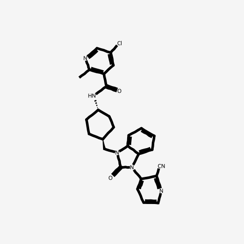 Cc1ncc(Cl)cc1C(=O)N[C@H]1CC[C@H](Cn2c(=O)n(-c3cccnc3C#N)c3ccccc32)CC1